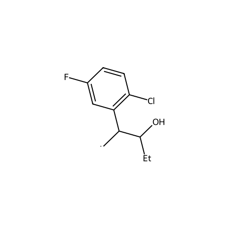 [CH2]C(c1cc(F)ccc1Cl)C(O)CC